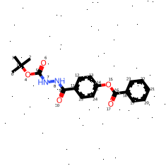 CC(C)(C)OC(=O)NNC(=O)c1ccc(OC(=O)c2ccccc2)cc1